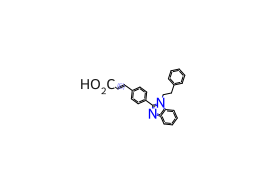 O=C(O)/C=C/c1ccc(-c2nc3ccccc3n2CCc2ccccc2)cc1